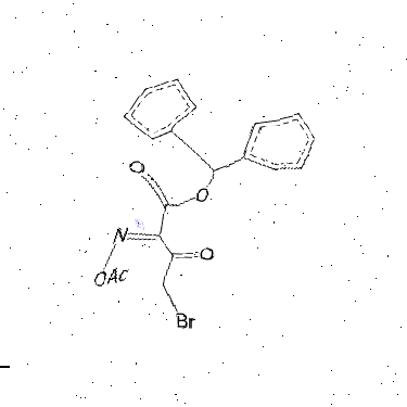 CC(=O)O/N=C(\C(=O)CBr)C(=O)OC(c1ccccc1)c1ccccc1